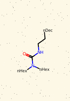 CCCCCCCCCCCCNC(=O)N(CCCCCC)CCCCCC